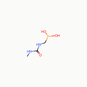 CNC(=O)NCP(O)O